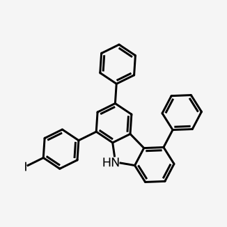 Ic1ccc(-c2cc(-c3ccccc3)cc3c2[nH]c2cccc(-c4ccccc4)c23)cc1